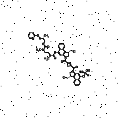 C[C@H](COC(=O)N(C)CCN(C)C(=O)Oc1cc2c(c3ccccc13)[C@H](CCl)CN2C(=O)C12CC(C(=O)N3C[C@@H](CCl)c4c3cc(OP(=O)(O)O)c3ccccc43)(C1)C2)SSc1ccccn1